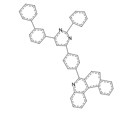 c1ccc(-c2cccc(-c3cc(-c4ccc(-c5nc6ccccc6c6c5ccc5ccccc56)cc4)nc(-c4ccccc4)n3)c2)cc1